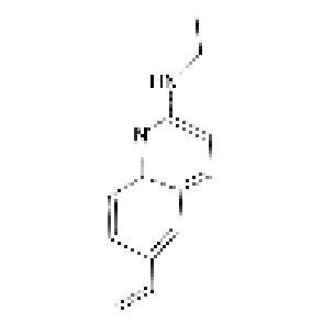 C=Cc1ccc2nc(NCC)ccc2c1